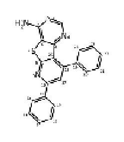 Nc1ncnc2c1sc1nc(-c3ccccc3)cc(-c3ccccc3)c12